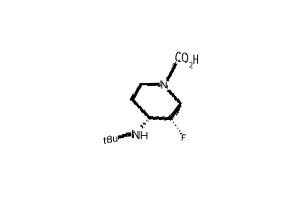 CC(C)(C)N[C@@H]1CCN(C(=O)O)C[C@@H]1F